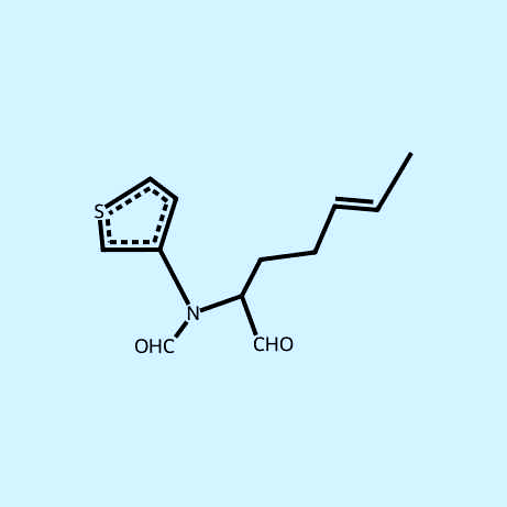 CC=CCCC(C=O)N(C=O)c1ccsc1